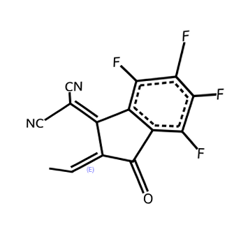 C/C=C1/C(=O)c2c(F)c(F)c(F)c(F)c2C1=C(C#N)C#N